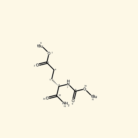 CC(C)(C)OC(=O)CC[C@H](NC(=O)OC(C)(C)C)C(N)=O